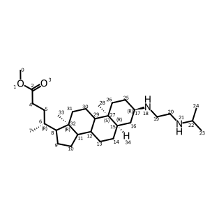 COC(=O)CC[C@@H](C)C1CCC2C3CC[C@@H]4C[C@H](NCCNC(C)C)CC[C@]4(C)C3CC[C@@]21C